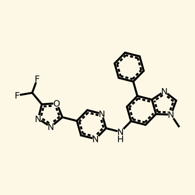 Cn1cnc2c(-c3ccccc3)cc(Nc3ncc(-c4nnc(C(F)F)o4)cn3)cc21